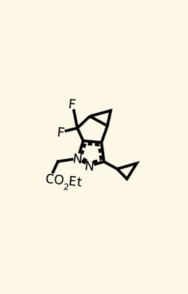 CCOC(=O)Cn1nc(C2CC2)c2c1C(F)(F)C1CC21